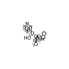 Cc1nc(N(C)C)c2ncn([C@@H]3O[C@H](COP(=S)(N[C@@H](C)C(=O)OC(C)C)Oc4cccc5ccccc45)[C@@H](O)[C@@]3(C)F)c2n1